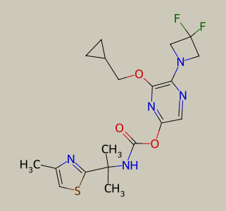 Cc1csc(C(C)(C)NC(=O)Oc2cnc(N3CC(F)(F)C3)c(OCC3CC3)n2)n1